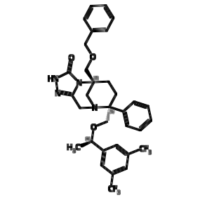 C[C@@H](OC[C@@]1(c2ccccc2)CC[C@]2(COCc3ccccc3)CN1Cc1n[nH]c(=O)n12)c1cc(C(F)(F)F)cc(C(F)(F)F)c1